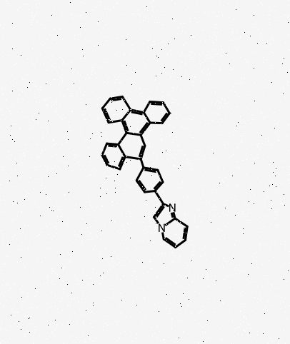 c1ccc2c(c1)c(-c1ccc(-c3cn4ccccc4n3)cc1)cc1c3ccccc3c3ccccc3c21